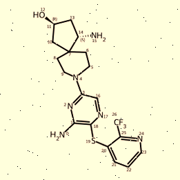 Nc1nc(N2CCC3(CC2)C[C@@H](O)C[C@@H]3N)cnc1Sc1cccnc1C(F)(F)F